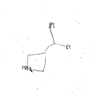 CCC(C(C)C)C1CNC1